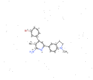 CN1CCc2cc(-c3cc(-c4cccc(Br)c4)c(C#N)c(N)n3)ccc21